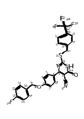 N#Cc1c(-c2ccc(OCc3ccc(F)cc3)cc2)nc(SCc2ccc(C(F)(F)F)cc2)[nH]c1=O